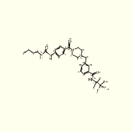 CCCCNC(=O)Nc1ccc(C(=O)N2CCN(Cc3cccc(C(=O)NC(C)(C)C(F)(F)F)c3)CC2)cc1